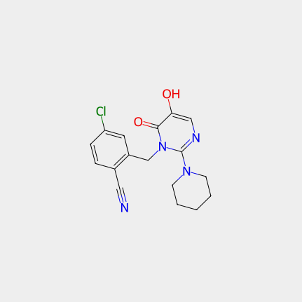 N#Cc1ccc(Cl)cc1Cn1c(N2CCCCC2)ncc(O)c1=O